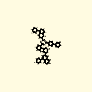 c1ccc(-c2ccc(-c3nc(-c4ccc5c(-c6ccccc6)cccc5c4)nc(-c4cccc5oc6c(-c7cc(-c8ccccc8)c8ccccc8c7)cccc6c45)n3)cc2)cc1